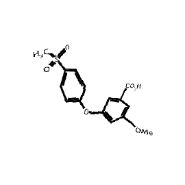 COc1cc(Oc2ccc(S(C)(=O)=O)cc2)cc(C(=O)O)c1